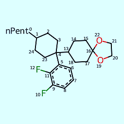 CCCCCC1CCC(c2cccc(F)c2F)(C2CCC3(CC2)OCCO3)CC1